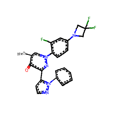 COc1cn(-c2ccc(N3CC(F)(F)C3)cc2F)nc(-c2ccnn2-c2ccccc2)c1=O